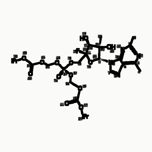 Cc1nc(C)c2ncn([C@@H]3O[C@](F)(COP(=O)(OCOC(=O)OC(C)C)OCOC(=O)OC(C)C)[C@@H](O)[C@@]3(C)O)c2n1